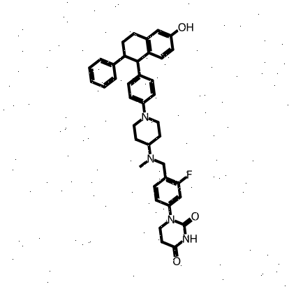 CN(Cc1ccc(N2CCC(=O)NC2=O)cc1F)C1CCN(c2ccc(C3c4ccc(O)cc4CCC3c3ccccc3)cc2)CC1